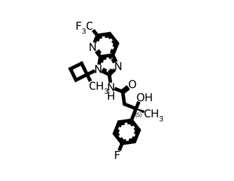 CC1(n2c(NC(=O)C[C@](C)(O)c3ccc(F)cc3)nc3ccc(C(F)(F)F)nc32)CCC1